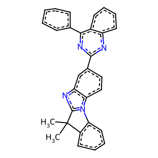 CC1(C)c2ccccc2-n2c1nc1cc(-c3nc(-c4ccccc4)c4ccccc4n3)ccc12